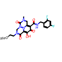 COCCN1CN2C(=O)N(C)Cc3c(C(=O)NCc4ccc(F)cc4F)c(=O)c(O)c(n32)C1=O